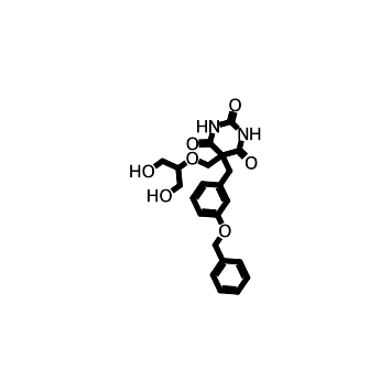 O=C1NC(=O)C(COC(CO)CO)(Cc2cccc(OCc3ccccc3)c2)C(=O)N1